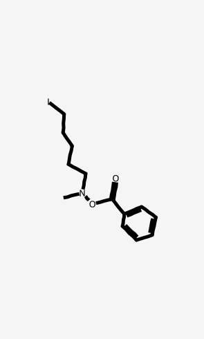 CN(CCCCCI)OC(=O)c1ccccc1